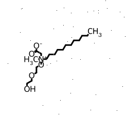 CCCCCCCCCCCC[N+](C)(CC(=O)[O-])OCCOCCO